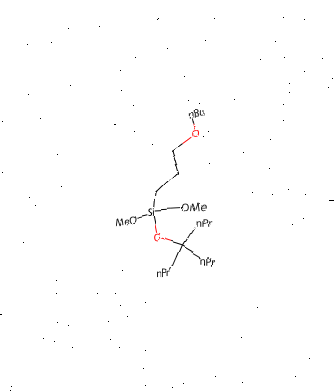 CCCCOCCC[Si](OC)(OC)OC(CCC)(CCC)CCC